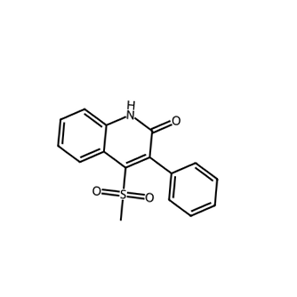 CS(=O)(=O)c1c(-c2ccccc2)c(=O)[nH]c2ccccc12